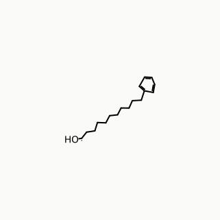 O[CH]CCCCCCCCCCc1ccccc1